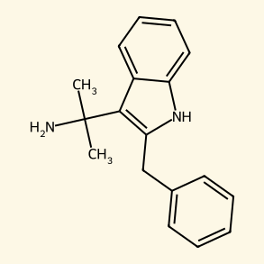 CC(C)(N)c1c(Cc2ccccc2)[nH]c2ccccc12